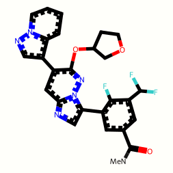 CNC(=O)c1cc(-c2cnc3cc(-c4cnn5ccccc45)c(OC4CCOC4)nn23)c(F)c(C(F)F)c1